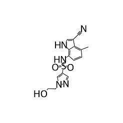 Cc1ccc(NS(=O)(=O)c2cnn(CCO)c2)c2[nH]cc(C#N)c12